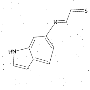 S=CC=Nc1ccc2cc[nH]c2c1